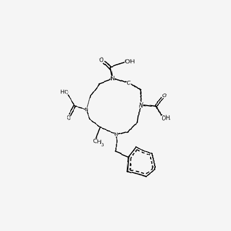 CC1CN(C(=O)O)CCN(C(=O)O)CCN(C(=O)O)CCN1Cc1ccccc1